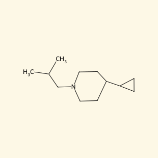 CC(C)CN1CCC(C2CC2)CC1